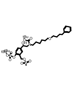 CC(C)(C)OC(=O)N(CCCCCCOCCCCc1ccccc1)C[C@H](O)c1ccc(OP(=O)(OC(C)(C)C)OC(C)(C)C)c(COS(C)(=O)=O)c1